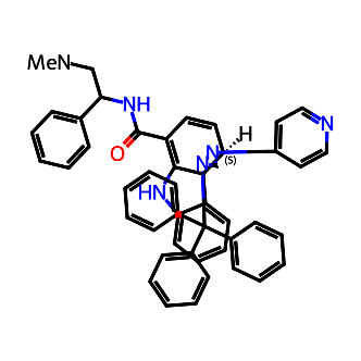 CNCC(NC(=O)C1=C2Nc3ccccc3C23[C@H](C=C1)N(c1ccncc1)CN3C(c1ccccc1)(c1ccccc1)c1ccccc1)c1ccccc1